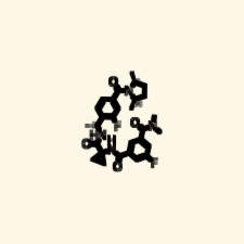 C[C@@H]1CC[C@H](C)N1C(=O)c1ccc([C@@H](C)NC(=O)C2(NC(=O)c3cc(F)cc(C(=O)N(C)C)c3)CC2)c(F)c1